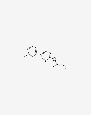 Cc1cccc(-c2ccc(OC(C)C(F)(F)F)nc2)c1